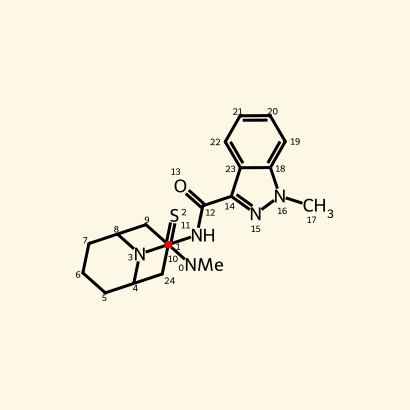 CNC(=S)N1C2CCCC1CC(NC(=O)c1nn(C)c3ccccc13)C2